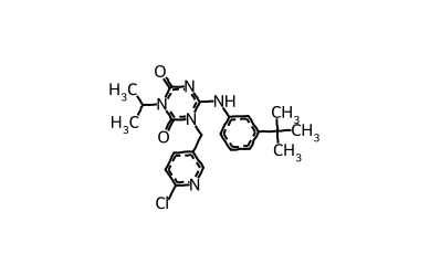 CC(C)n1c(=O)nc(Nc2cccc(C(C)(C)C)c2)n(Cc2ccc(Cl)nc2)c1=O